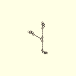 O=c1ccc2ccc(OCCCCCCCCCOCC(COCCCCCCCCCOc3ccc4ccc(=O)oc4c3)OCCCCCCCCCOc3ccc4ccc(=O)oc4c3)cc2o1